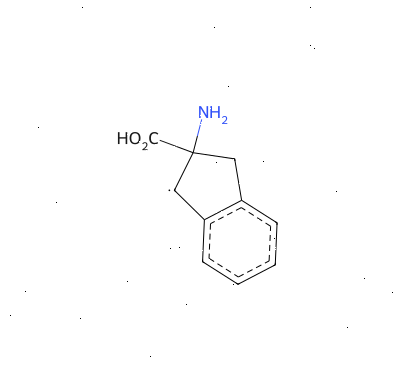 NC1(C(=O)O)[CH]c2ccccc2C1